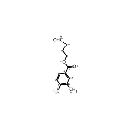 Cc1ccc(C(=O)OCCOC=O)cc1C